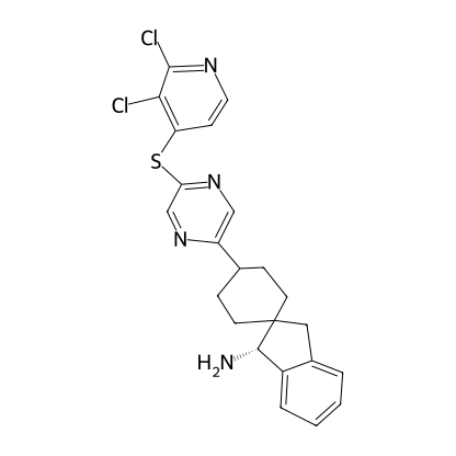 N[C@H]1c2ccccc2CC12CCC(c1cnc(Sc3ccnc(Cl)c3Cl)cn1)CC2